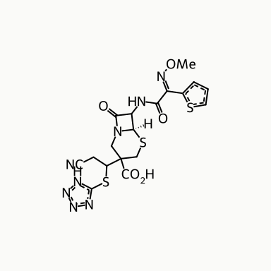 CON=C(C(=O)NC1C(=O)N2CC(C(=O)O)(C(CC#N)Sc3nnn[nH]3)CS[C@H]12)c1cccs1